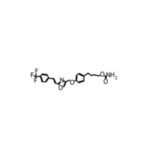 NC(=O)OCCCCc1ccc(OCc2coc(C=Cc3ccc(C(F)(F)F)cc3)n2)cc1